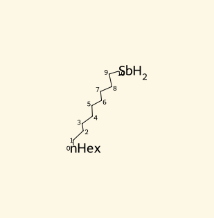 CCCCCCCCCCCCCC[CH2][SbH2]